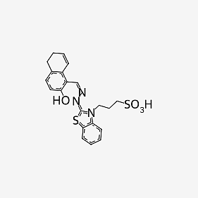 O=S(=O)(O)CCCn1/c(=N\N=C/c2c(O)ccc3c2C=CCC3)sc2ccccc21